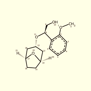 COc1ccccc1[C@H](CO)O[C@@H]1C[C@H]2CC[C@@H](C1)O2